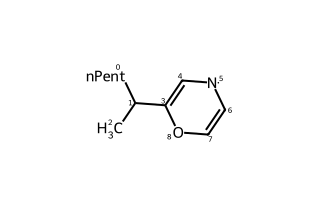 CCCCCC(C)C1=C[N]C=CO1